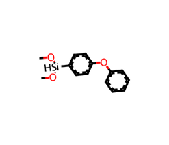 CO[SiH](OC)c1ccc(Oc2ccccc2)cc1